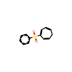 O=S(=O)(C1=CC=CCC=C1)c1ccccc1